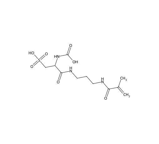 C=C(C)C(=O)NCCCNC(=O)C(CS(=O)(=O)O)NC(=O)O